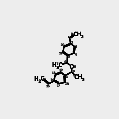 C=Cc1ccc(C(C)OC(C)c2ccc(C=C)cc2)cc1